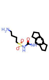 NCCCCS(=O)(=O)NC(=O)Nc1c2c(cc3c1CCC3)CCC2